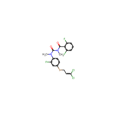 CN(C(=O)c1c(F)cccc1F)C(=O)N(C)c1ccc(SCC=C(Cl)Cl)cc1F